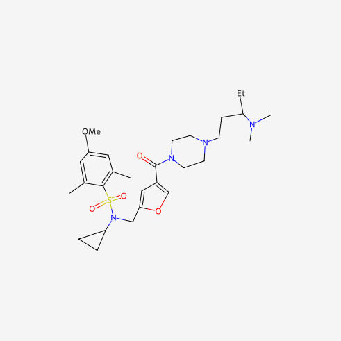 CCC(CCN1CCN(C(=O)c2coc(CN(C3CC3)S(=O)(=O)c3c(C)cc(OC)cc3C)c2)CC1)N(C)C